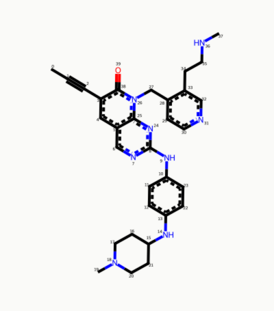 CC#Cc1cc2cnc(Nc3ccc(NC4CCN(C)CC4)cc3)nc2n(Cc2ccncc2CCNC)c1=O